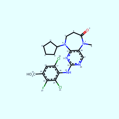 CN1C(=O)CCN(C2CCCC2)c2nc(Nc3c(Cl)cc(C(=O)O)c(F)c3Cl)ncc21